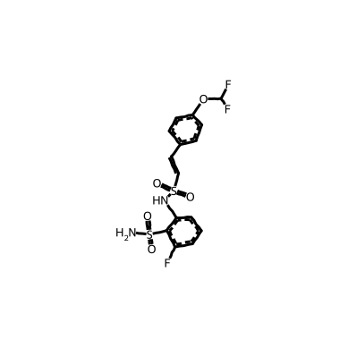 NS(=O)(=O)c1c(F)cccc1NS(=O)(=O)C=Cc1ccc(OC(F)F)cc1